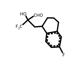 O=CC(O)(CC1CCCc2cc(F)ccc21)C(F)(F)F